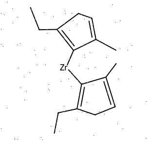 CCC1=[C]([Zr][C]2=C(CC)CC=C2C)C(C)=CC1